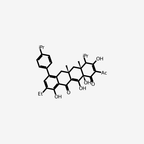 CCc1cc(-c2ccc(C(C)C)cc2)c2c(c1O)C(=O)C1=C(O)[C@@]3(O)C(=O)C(C(C)=O)=C(O)C(C(C)C)[C@@]3(C)C[C@@]1(C)C2